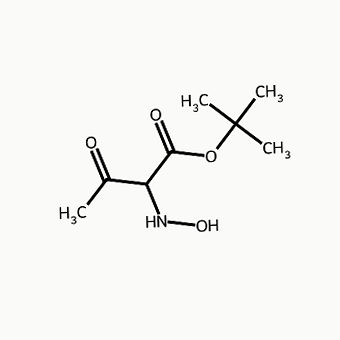 CC(=O)C(NO)C(=O)OC(C)(C)C